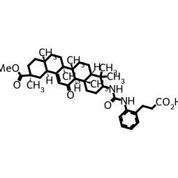 COC(=O)[C@@]1(C)CC[C@]2(C)CC[C@]3(C)C(=CC(=O)[C@@H]4[C@@]5(C)CCC(NC(=O)Nc6ccccc6CCC(=O)O)C(C)(C)[C@@H]5CC[C@]43C)[C@H]2C1